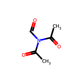 CC(=O)N([C]=O)C(C)=O